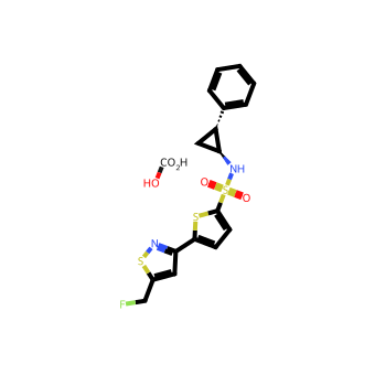 O=C(O)O.O=S(=O)(N[C@H]1C[C@@H]1c1ccccc1)c1ccc(-c2cc(CF)sn2)s1